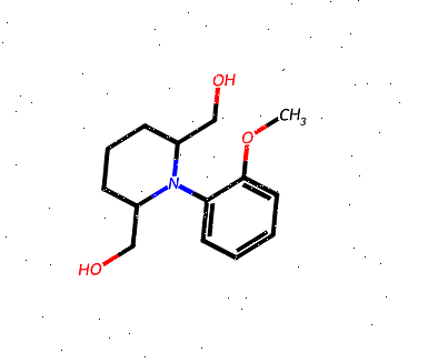 COc1ccccc1N1C(CO)CCCC1CO